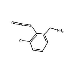 NCc1cccc(Cl)c1N=C=O